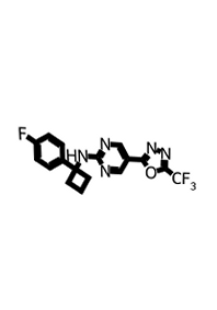 Fc1ccc(C2(Nc3ncc(-c4nnc(C(F)(F)F)o4)cn3)CCC2)cc1